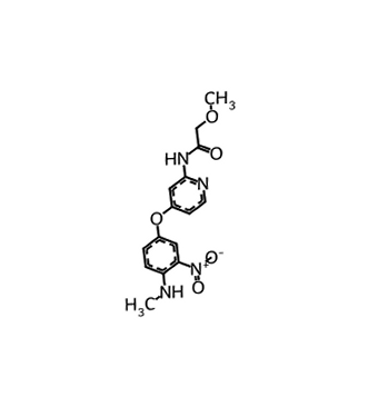 CNc1ccc(Oc2ccnc(NC(=O)COC)c2)cc1[N+](=O)[O-]